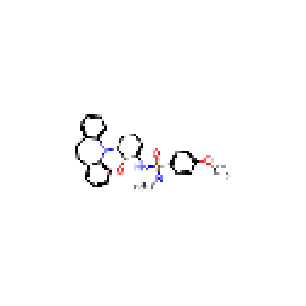 CCCCN=S(=O)(NC1=CCC[C@H](N2c3ccccc3CCc3ccccc32)[C@@H]1O)c1ccc(OC(F)(F)F)cc1